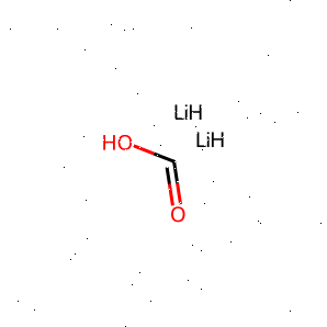 O=CO.[LiH].[LiH]